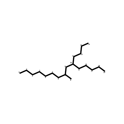 CCCCCCCC(C)[CH]C(CCCC)CCCCC